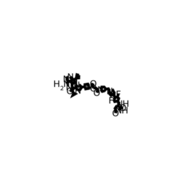 Nc1ncnc2c1c(-c1noc(C3CC3)c1-c1ncc(C3CCN(C(=O)OCC(=O)N4CCC(CN5CCN(c6c(F)cc(NC7CCC(=O)NC7=O)cc6F)CC5)CC4)CC3)cn1)nn2C12CC(C1)C2